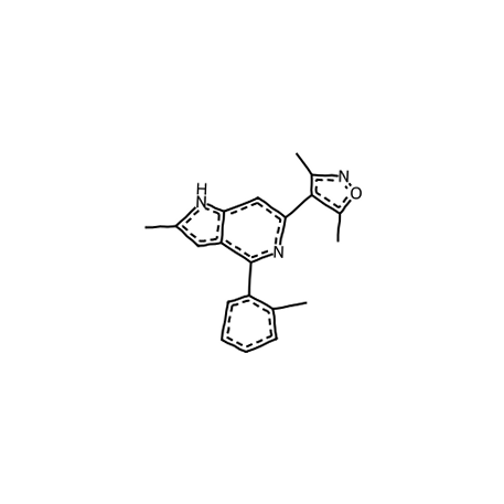 Cc1cc2c(-c3ccccc3C)nc(-c3c(C)noc3C)cc2[nH]1